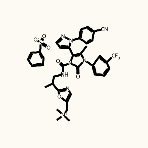 Cc1c(-c2ccnn2-c2ccc(C#N)cc2)n(C(=O)NCC(C)c2ncc(C[N+](C)(C)C)o2)c(=O)n1-c1cccc(C(F)(F)F)c1.O=S(=O)([O-])c1ccccc1